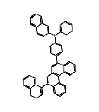 C1=CCCC(N(c2ccc(-c3cc4cc(C5=CCCc6ccccc65)c5ccccc5c4c4ccccc34)cc2)c2ccc3ccccc3c2)=C1